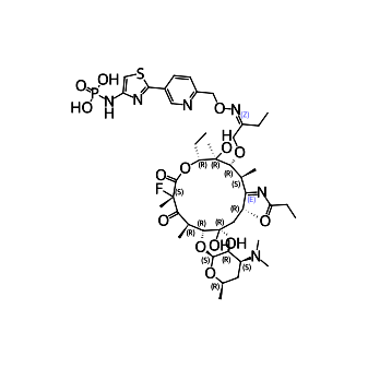 CCC(=O)/N=C1\[C@H](C)C[C@@](C)(O)[C@H](O[C@@H]2O[C@H](C)C[C@H](N(C)C)[C@H]2O)[C@@H](C)C(=O)[C@](C)(F)C(=O)O[C@H](CC)[C@@](C)(O)[C@H](OC/C(CC)=N\OCc2ccc(-c3nc(NP(=O)(O)O)cs3)cn2)[C@H]1C